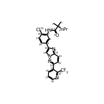 CCCC(C)(C)C(=O)Nc1cc(-c2cn3nc(-c4cccnc4C(F)(F)F)ccc3n2)ccc1Cl